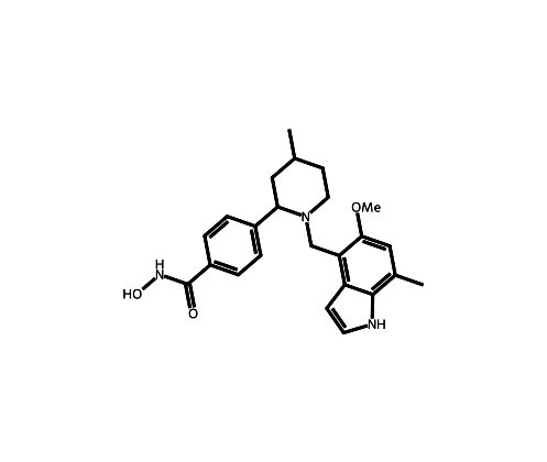 COc1cc(C)c2[nH]ccc2c1CN1CCC(C)CC1c1ccc(C(=O)NO)cc1